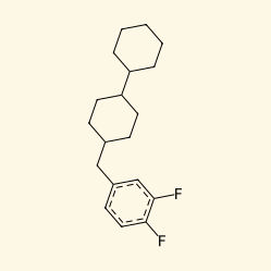 Fc1ccc(CC2CCC(C3CCCCC3)CC2)cc1F